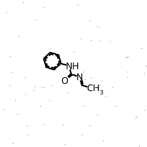 CC=NC(=O)Nc1ccccc1